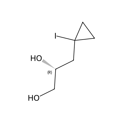 OC[C@H](O)CC1(I)CC1